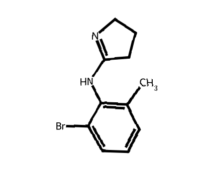 Cc1cccc(Br)c1NC1=NCCC1